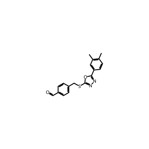 Cc1ccc(-c2nnc(SCc3ccc(C=O)cc3)o2)cc1C